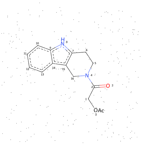 CC(=O)OCC(=O)N1CCc2[nH]c3ccccc3c2C1